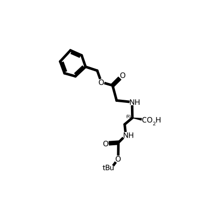 CC(C)(C)OC(=O)NC[C@@H](NCC(=O)OCc1ccccc1)C(=O)O